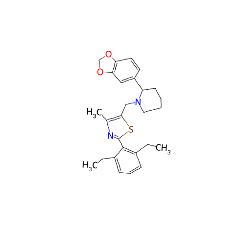 CCc1cccc(CC)c1-c1nc(C)c(CN2CCCCC2c2ccc3c(c2)OCO3)s1